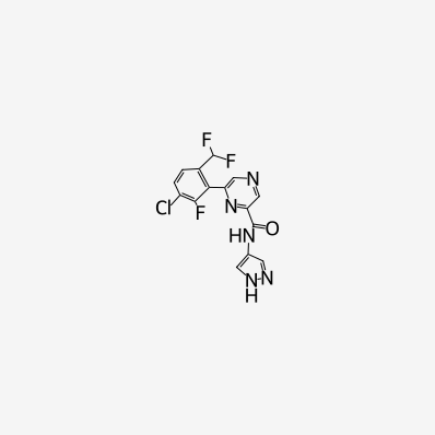 O=C(Nc1cn[nH]c1)c1cncc(-c2c(C(F)F)ccc(Cl)c2F)n1